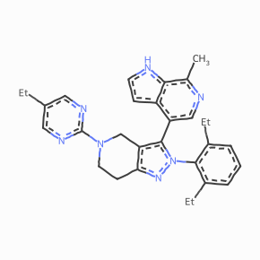 CCc1cnc(N2CCc3nn(-c4c(CC)cccc4CC)c(-c4cnc(C)c5[nH]ccc45)c3C2)nc1